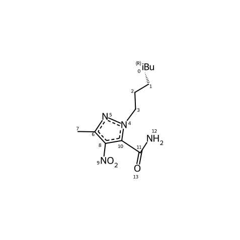 CC[C@@H](C)CCCn1nc(C)c([N+](=O)[O-])c1C(N)=O